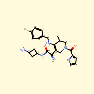 CC1CN(C(=O)c2ccc[nH]2)CC(C(=N)C(=O)NC2CC(N)C2)=C1NCc1ccc(F)cc1